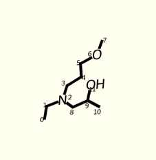 CCN(CCCOC)CC(C)O